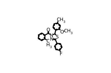 COc1cc(C)ccc1C1SC(c2ccc(F)cc2)=NN1C(=O)c1ccccc1C